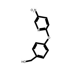 O=[N+]([O-])c1ccc(Oc2ccc(CO)cc2)nc1